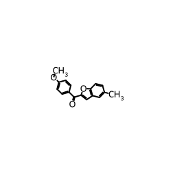 COc1ccc(C(=O)c2cc3cc(C)ccc3o2)cc1